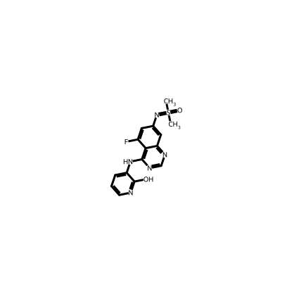 CS(C)(=O)=Nc1cc(F)c2c(Nc3cccnc3O)ncnc2c1